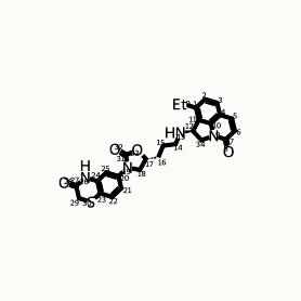 CCc1ccc2ccc(=O)n3c2c1[C@H](NCCC[C@@H]1CN(c2ccc4c(c2)NC(=O)CS4)C(=O)O1)C3